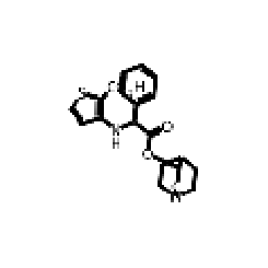 O=C(O)c1sccc1NC(C(=O)OC1CN2CCC1CC2)c1ccccc1